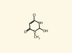 CN1C(=O)C=C(Cl)NC1O